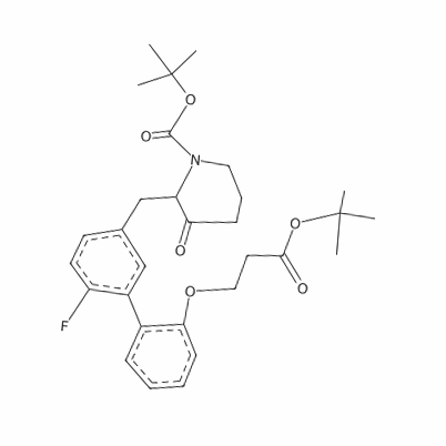 CC(C)(C)OC(=O)CCOc1ccccc1-c1cc(CC2C(=O)CCCN2C(=O)OC(C)(C)C)ccc1F